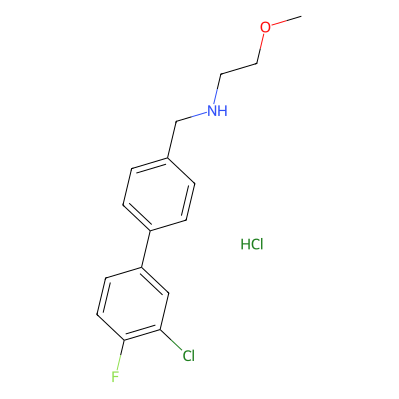 COCCNCc1ccc(-c2ccc(F)c(Cl)c2)cc1.Cl